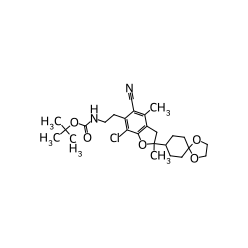 Cc1c(C#N)c(CCNC(=O)OC(C)(C)C)c(Cl)c2c1CC(C)(C1CCC3(CC1)OCCO3)O2